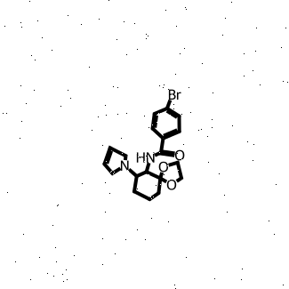 O=C(NC1C(N2CC=CC2)CCCC12OCCO2)c1ccc(Br)cc1